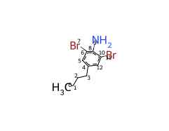 CCCCc1cc(Br)c(N)c(Br)c1